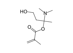 C=C(C)C(=O)OC(C)(CCO)N(C)C